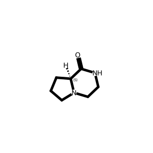 O=C1NCCN2CCC[C@@H]12